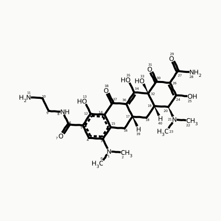 CN(C)c1cc(C(=O)NCCN)c(O)c2c1C[C@H]1C[C@H]3[C@H](N(C)C)C(O)=C(C(N)=O)C(=O)[C@@]3(O)C(O)=C1C2=O